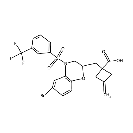 C=C1CC(CC2CN(S(=O)(=O)c3cccc(C(F)(F)F)c3)c3cc(Br)ccc3O2)(C(=O)O)C1